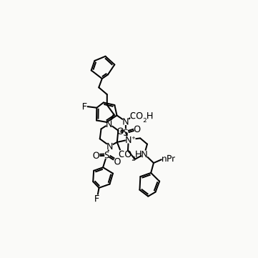 CCCC(c1ccccc1)N1CC[N+](C2(C(=O)O)CN(CCCCc3ccccc3)CCN2S(=O)(=O)c2ccc(F)cc2)(S(=O)(=O)N(C(=O)O)c2ccc(F)cc2)CC1